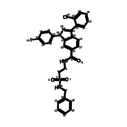 O=C(NCCS(=O)(=O)NCc1ccccc1)c1ccc2c(-c3ccccc3Cl)nn(-c3ccc(F)cc3)c2c1